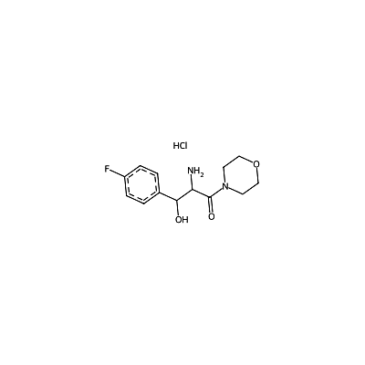 Cl.NC(C(=O)N1CCOCC1)C(O)c1ccc(F)cc1